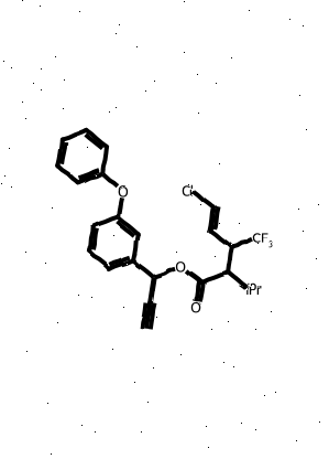 C#CC(OC(=O)C(C(C)C)C(C=CCl)C(F)(F)F)c1cccc(Oc2ccccc2)c1